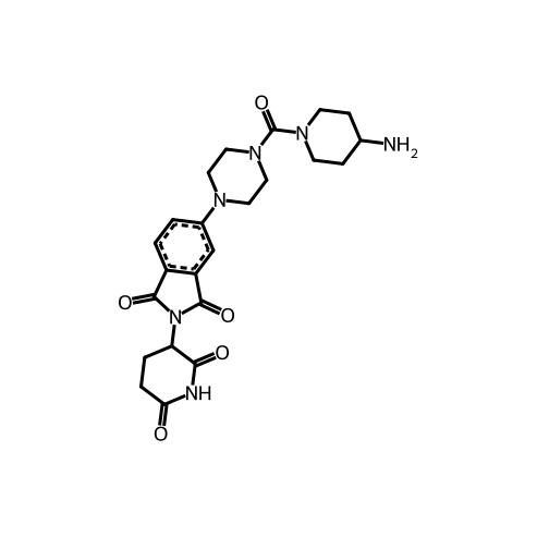 NC1CCN(C(=O)N2CCN(c3ccc4c(c3)C(=O)N(C3CCC(=O)NC3=O)C4=O)CC2)CC1